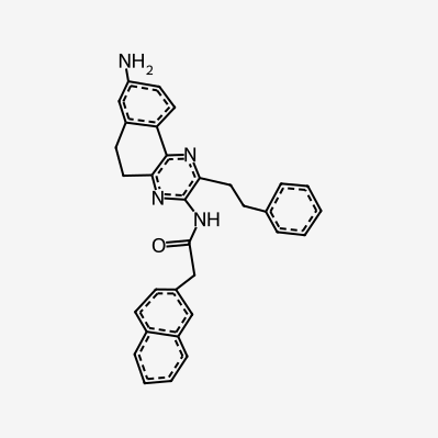 Nc1ccc2c(c1)CCc1nc(NC(=O)Cc3ccc4ccccc4c3)c(CCc3ccccc3)nc1-2